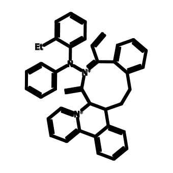 C=CC1=[N+](N(c2ccccc2)c2ccccc2CC)C(=C)C2C(CCc3ccccc31)c1ccccc1-c1cccc[n+]12